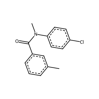 Cc1cccc(C(=O)N(C)c2ccc(Cl)cc2)c1